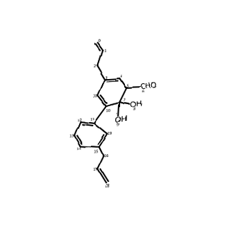 C=CCC1=CC(C=O)C(O)(O)C(c2cccc(CC=C)c2)=C1